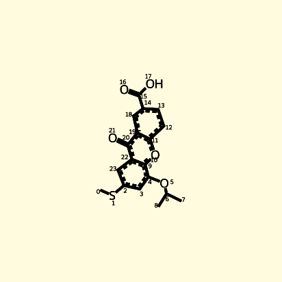 CSc1cc(OC(C)C)c2oc3ccc(C(=O)O)cc3c(=O)c2c1